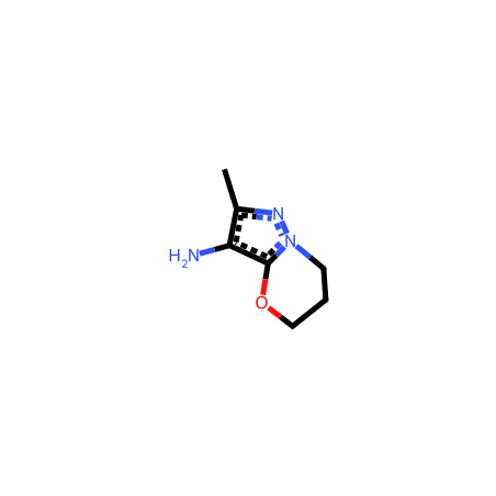 Cc1nn2c(c1N)OCCC2